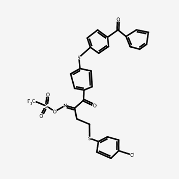 O=C(/C(CCSc1ccc(Cl)cc1)=N/OS(=O)(=O)C(F)(F)F)c1ccc(Sc2ccc(C(=O)c3ccccc3)cc2)cc1